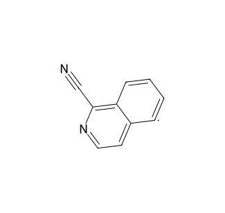 N#Cc1nccc2[c]cccc12